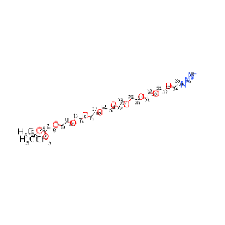 CC(C)(C)OC(=O)CCOCCOCCOCCOCCOCCOCCOCCOCCOCCN=[N+]=[N-]